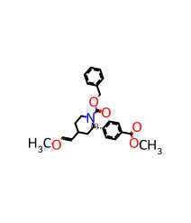 COC=CC1CCN(C(=O)OCc2ccccc2)[C@H](c2ccc(C(=O)OC)cc2)C1